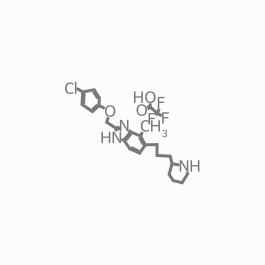 Cc1c(CCCC2CCCCN2)ccc2[nH]c(COc3ccc(Cl)cc3)nc12.O=C(O)C(F)(F)F